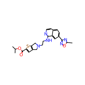 Cc1nc(-c2ccc3ccnc(NCCN4Cc5cc(C(=O)OC(C)C)sc5C4)c3c2)no1